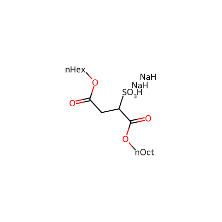 CCCCCCCCOC(=O)C(CC(=O)OCCCCCC)S(=O)(=O)O.[NaH].[NaH]